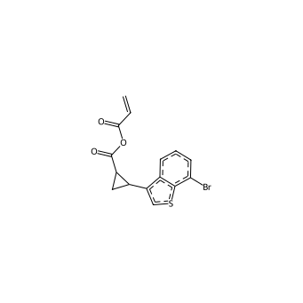 C=CC(=O)OC(=O)C1CC1c1csc2c(Br)cccc12